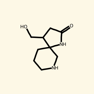 O=C1CC(CO)C2(CCCNC2)N1